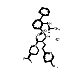 CC(=O)Nc1c(-c2ccccc2)cccc1S(=O)(=O)N[C@@H](CCc1ccc(N)cn1)C(=O)N1CCC(=C(F)F)CC1.Cl